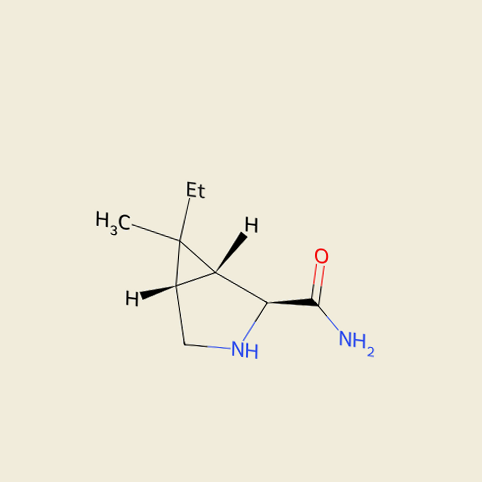 CCC1(C)[C@@H]2[C@@H](C(N)=O)NC[C@@H]21